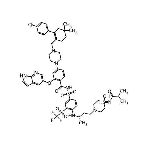 CC(C)C(=O)N=[SH]1(O)CCN(CC[C@H](C)Nc2ccc(S(=O)(=O)NC(=O)c3ccc(N4CCN(CC5=C(c6ccc(Cl)cc6)CC(C)(C)CC5)CC4)cc3Oc3cnc4[nH]ccc4c3)cc2S(=O)(=O)C(F)(F)F)CC1